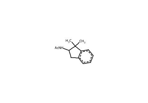 CC(=O)NC1Cc2ccccc2C1(C)C